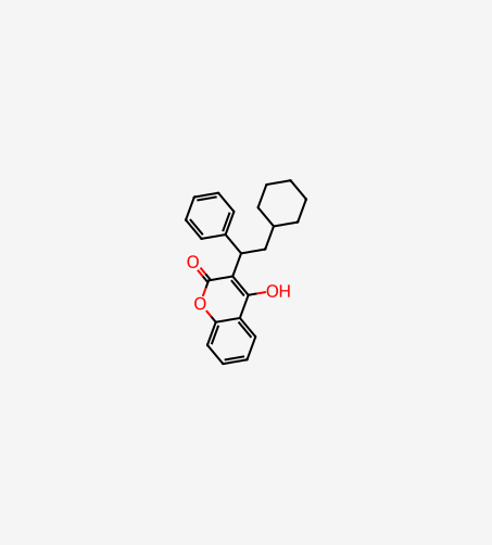 O=c1oc2ccccc2c(O)c1C(CC1CCCCC1)c1ccccc1